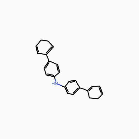 C1=CCCC(c2ccc(Nc3ccc(C4=CCCC=C4)cc3)cc2)=C1